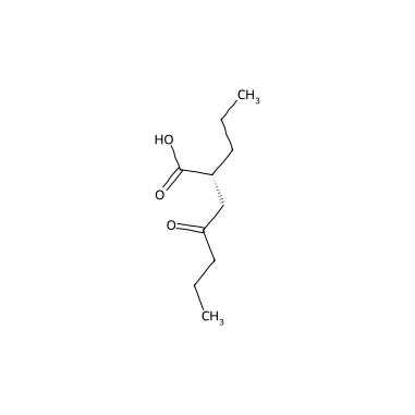 CCCC(=O)C[C@@H](CCC)C(=O)O